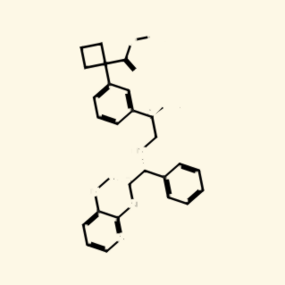 COC(=O)C1(c2cccc([C@@H](C)CN[C@H](c3ccccc3)[C@H]3CNc4cccnc4N3)c2)CCC1